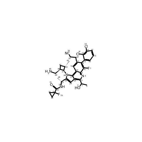 CC(O)c1nc2c(F)c(-c3cccc(Cl)c3Cl)c(CCC#N)cc2c2c1cc([C@@H](C)NC(=O)C1(F)CC1)n2[C@H]1[C@@H](CN)C[C@@H]1C